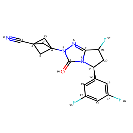 N#CC12CC(n3nc4n(c3=O)[C@H](c3cc(F)cc(F)c3)CC4F)(C1)C2